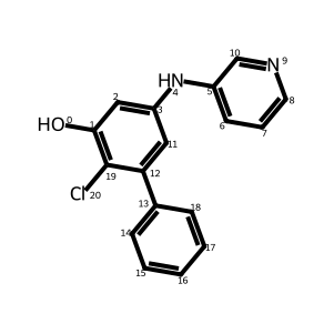 Oc1cc(Nc2cccnc2)cc(-c2ccccc2)c1Cl